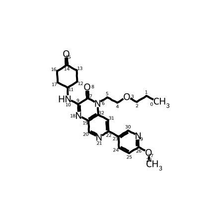 CCCOCCn1c(=O)c(NC2CCC(=O)CC2)nc2cnc(-c3ccc(OC)nc3)cc21